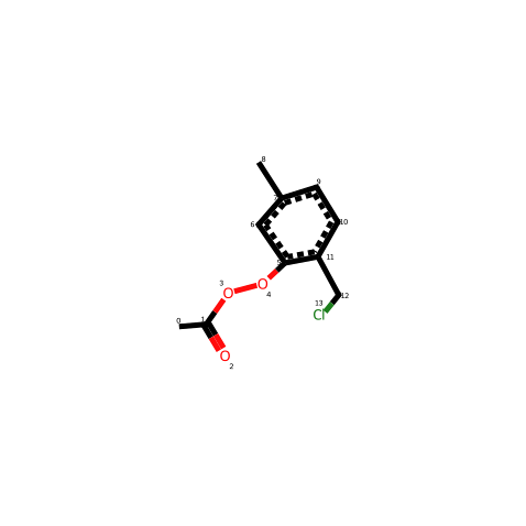 CC(=O)OOc1cc(C)ccc1CCl